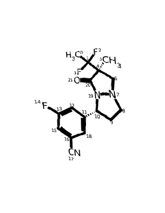 CC(F)(F)[C@@]1(C)CN2CC[C@H](c3cc(F)cc(C#N)c3)N2C1=O